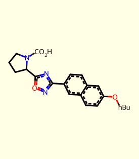 CCCCOc1ccc2cc(-c3noc(C4CCCN4C(=O)O)n3)ccc2c1